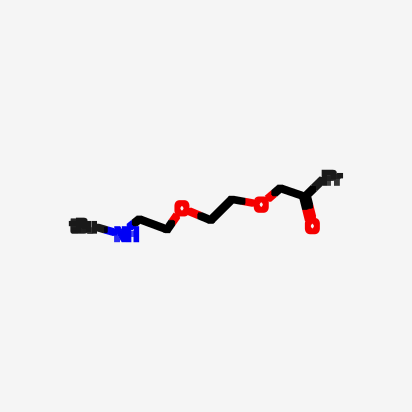 CC(C)C(=O)COCCOCCNC(C)(C)C